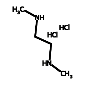 CNCCNC.Cl.Cl